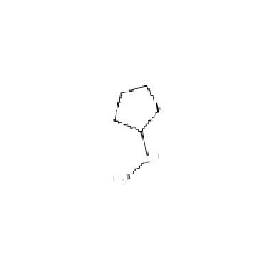 BBC1CCCC1